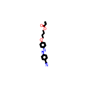 C=CC(=O)OCCCCOc1ccc(/N=N/c2ccc(C#N)cc2)cc1